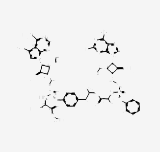 C=C1[C@@H](n2cnc3c(N)nc(F)nc32)[C@H](CO)[C@H]1COP(=O)(NC(C)C(=O)OC(C)Cc1ccc(OP(=O)(NC(C)C(=O)OC(C)C)OC[C@H]2C(=C)[C@@H](n3cc(F)c4c(N)ncnc43)[C@@H]2CO)cc1)Oc1ccccc1